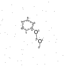 COCOc1c[c]ccc1